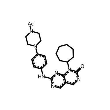 CC(=O)N1CCN(c2ccc(Nc3ncc4cnc(=O)n(C5CCCCCC5)c4n3)cc2)CC1